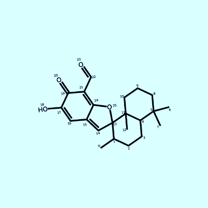 CC1CCC2C(C)(C)CCCC2(C)C12C=C1C=C(O)C(=O)C(C=O)=C1O2